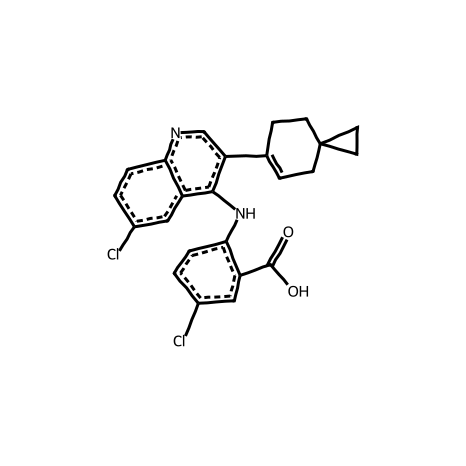 O=C(O)c1cc(Cl)ccc1Nc1c(C2=CCC3(CC2)CC3)cnc2ccc(Cl)cc12